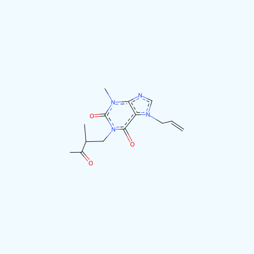 C=CCn1cnc2c1c(=O)n(CC(C)C(C)=O)c(=O)n2C